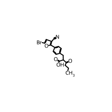 CCCC(=O)C(Cc1ccc(-c2oc(Br)cc2C#N)cc1)C(=O)O